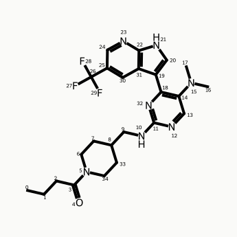 CCCC(=O)N1CCC(CNc2ncc(N(C)C)c(-c3c[nH]c4ncc(C(F)(F)F)cc34)n2)CC1